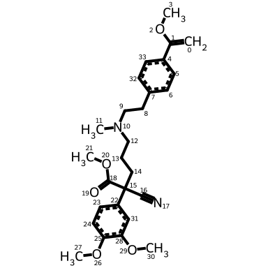 C=C(OC)c1ccc(CCN(C)CCCC(C#N)(C(=O)OC)c2ccc(OC)c(OC)c2)cc1